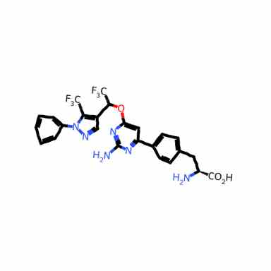 Nc1nc(OC(c2cnn(-c3ccccc3)c2C(F)(F)F)C(F)(F)F)cc(-c2ccc(C[C@H](N)C(=O)O)cc2)n1